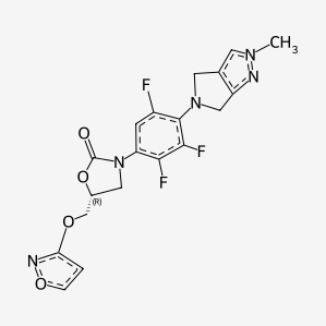 Cn1cc2c(n1)CN(c1c(F)cc(N3C[C@H](COc4ccon4)OC3=O)c(F)c1F)C2